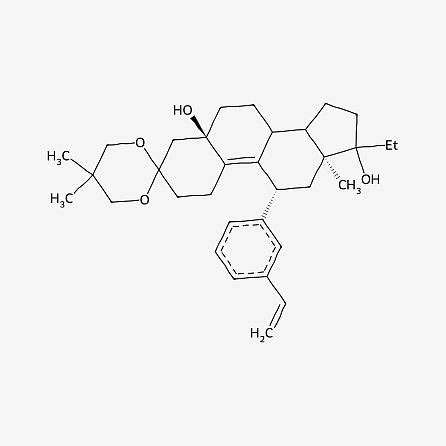 C=Cc1cccc([C@H]2C[C@@]3(C)C(CCC3(O)CC)C3CC[C@@]4(O)CC5(CCC4=C32)OCC(C)(C)CO5)c1